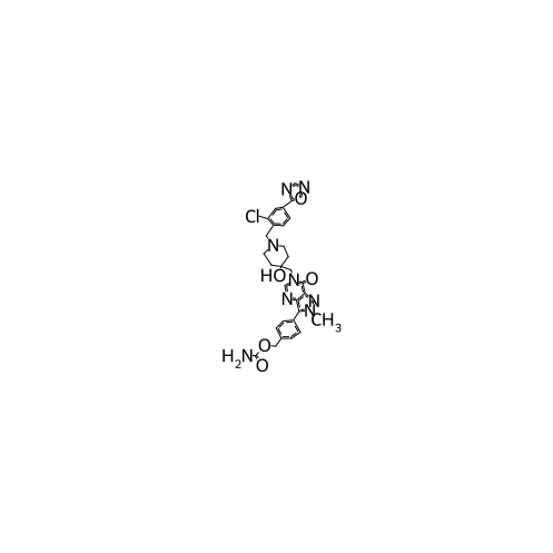 Cn1nc2c(=O)n(CC3(O)CCN(Cc4ccc(-c5ncno5)cc4Cl)CC3)cnc2c1-c1ccc(COC(N)=O)cc1